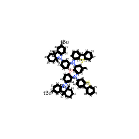 Cc1cc2c3c(c1)N(c1cccc4c1sc1ccccc14)c1cc(N4c5ccc(C(C)(C)C)cc5C5(C)CCCCC45C)ccc1B3c1ccc(N3c4ccc(C(C)(C)C)cc4C4(C)CCCCC34C)cc1N2c1ccc2c(c1)sc1ccccc12